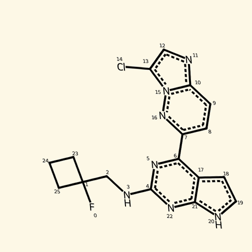 FC1(CNc2nc(-c3ccc4ncc(Cl)n4n3)c3cc[nH]c3n2)CCC1